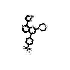 CS(=O)(=O)c1ccc(-c2cc(N3CCOCC3)nc3c(-c4cc[nH]n4)nccc23)cc1